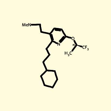 CNCCc1ccc(O[C@H](C)C(F)(F)F)nc1CCCC1CCCCC1